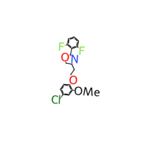 COc1cc(Cl)ccc1OCCC1COC(c2c(F)cccc2F)=N1